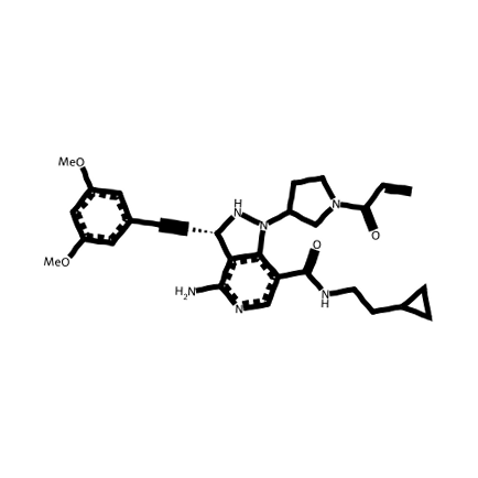 C=CC(=O)N1CCC(N2N[C@@H](C#Cc3cc(OC)cc(OC)c3)c3c(N)ncc(C(=O)NCCC4CC4)c32)C1